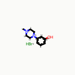 Br.CN1CCN(c2cccc(O)c2)CC1